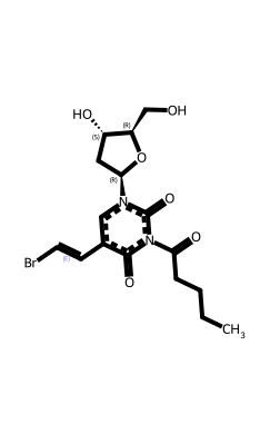 CCCCC(=O)n1c(=O)c(/C=C/Br)cn([C@H]2C[C@H](O)[C@@H](CO)O2)c1=O